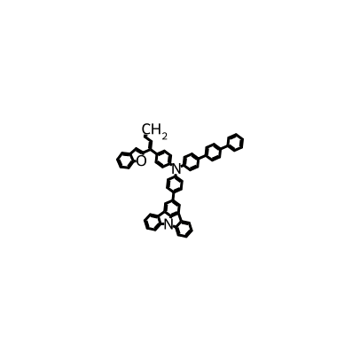 C=C/C=C(/c1ccc(N(c2ccc(-c3ccc(-c4ccccc4)cc3)cc2)c2ccc(-c3cc4c5ccccc5n5c6ccccc6c(c3)c45)cc2)cc1)c1cc2ccccc2o1